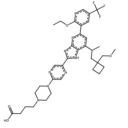 CCOc1ncc(C(F)(F)F)cc1-c1cc(N(C)CC2(COC)CCC2)c2[nH]c(-c3cnc(N4CCN(CCCC(=O)O)CC4)cn3)nc2n1